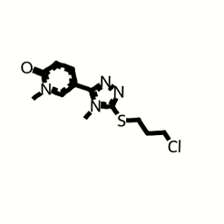 Cn1c(SCCCCl)nnc1-c1ccc(=O)n(C)c1